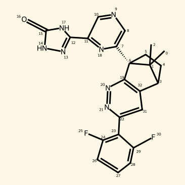 CC1(C)C2CC[C@]1(c1cncc(-c3n[nH]c(=O)[nH]3)n1)c1nnc(-c3c(F)cccc3F)cc12